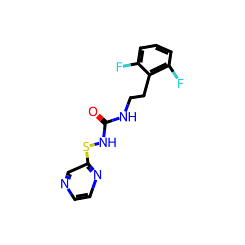 O=C(NCCc1c(F)cccc1F)NSc1cnccn1